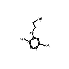 Cc1ccc(O)c(NCCO)c1